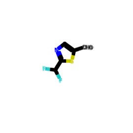 O=[C]c1cnc(C(F)F)s1